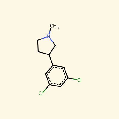 CN1CCC(c2cc(Cl)cc(Cl)c2)C1